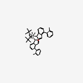 Cc1ccccc1-c1cccc2c1C=C[CH]2[Hf]([CH3])([CH3])([CH]1C=Cc2c(-c3ccccc3C)cccc21)=[Si](C(C)(C)C)C(C)(C)C